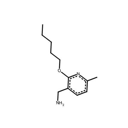 CCCCCOc1nc(C)ccc1CN